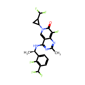 Cc1nc(N[C@H](C)c2cccc(C(F)F)c2F)c2cn([C@H]3CC3C(F)F)c(=O)c(F)c2n1